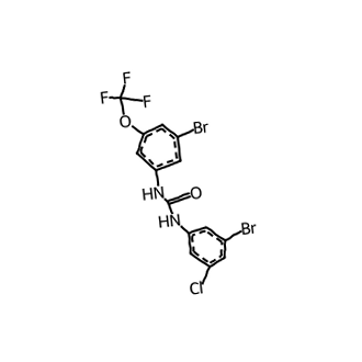 O=C(Nc1cc(Cl)cc(Br)c1)Nc1cc(Br)cc(OC(F)(F)F)c1